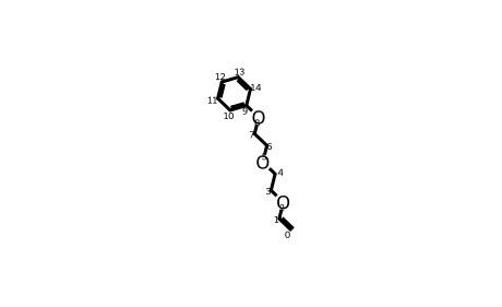 C=COCCOCCOc1ccccc1